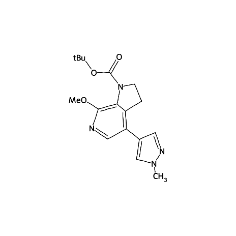 COc1ncc(-c2cnn(C)c2)c2c1N(C(=O)OC(C)(C)C)CC2